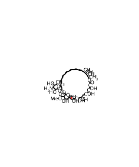 COC(=O)C1[C@@H]2CC(OC3O[C@H](C)[C@@H](O)[C@H](N)[C@@H]3O)/C=C/C=C/C=C/C=C/C=C/C=C/C=C/[C@H](C)[C@@H](O)[C@@H](C)[C@H](C)OC(=O)CC(O)CC(O)CCC(O)C(O)CC(O)CC(O)(C[C@@H]1O)O2